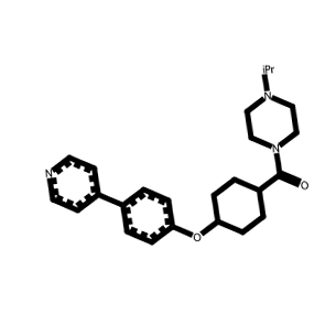 CC(C)N1CCN(C(=O)C2CCC(Oc3ccc(-c4ccncc4)cc3)CC2)CC1